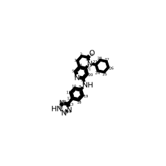 O=C1CCc2cnc(Nc3ccc(-c4nn[nH]n4)cc3)cc2N1C1CCCCC1